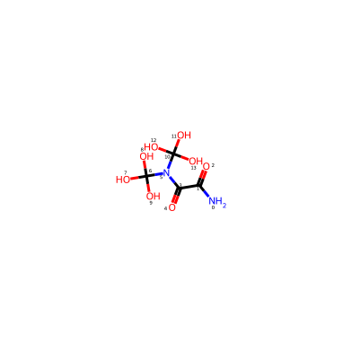 NC(=O)C(=O)N(C(O)(O)O)C(O)(O)O